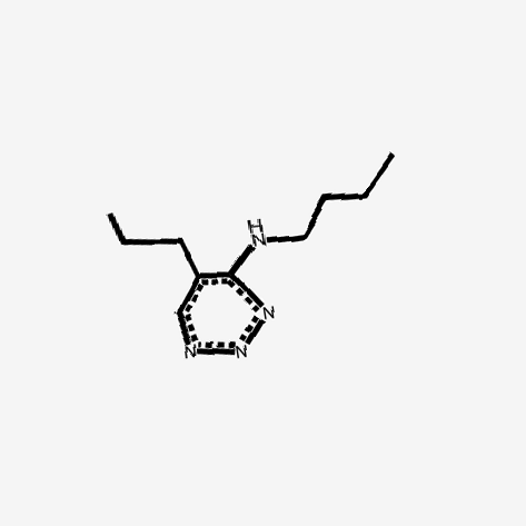 CCCCNc1nnn[c]c1CCC